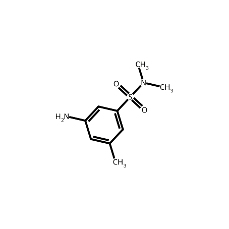 Cc1cc(N)cc(S(=O)(=O)N(C)C)c1